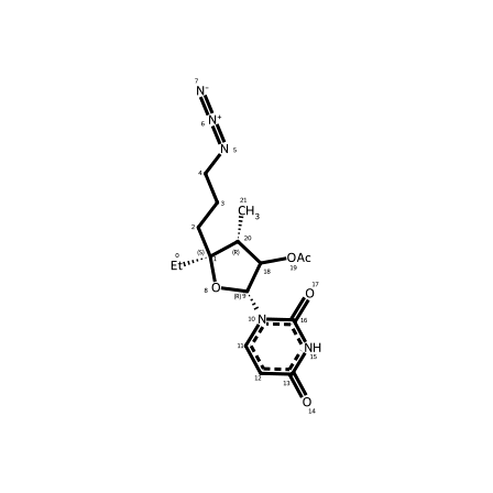 CC[C@@]1(CCCN=[N+]=[N-])O[C@@H](n2ccc(=O)[nH]c2=O)C(OC(C)=O)[C@H]1C